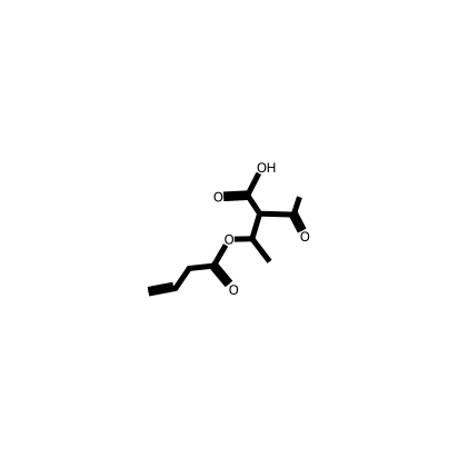 C=CCC(=O)OC(C)C(C(C)=O)C(=O)O